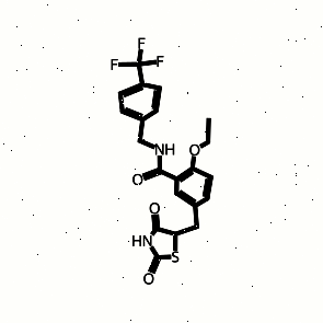 CCOc1ccc(CC2SC(=O)NC2=O)cc1C(=O)NCc1ccc(C(F)(F)F)cc1